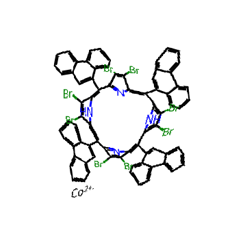 BrC1=C(Br)c2nc1c(-c1cc3ccccc3c3ccccc13)c1[nH]c(c(Br)c1Br)c(-c1cc3ccccc3c3ccccc13)c1nc(c(-c3cc4ccccc4c4ccccc34)c3[nH]c(c(Br)c3Br)c2-c2cc3ccccc3c3ccccc23)C(Br)=C1Br.[Co+2]